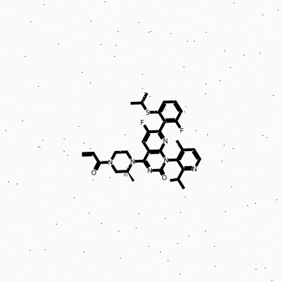 C=CC(=O)N1CCN(c2nc(=O)n(-c3c(C)ccnc3C(C)C)c3nc(-c4c(F)cccc4SC(C)C)c(F)cc23)[C@@H](C)C1